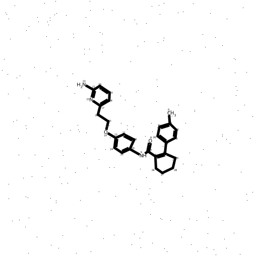 Cc1ccc(C2=C(C(=O)Nc3ccc(OCCc4cccc(N)n4)cc3)CCCC2)cc1